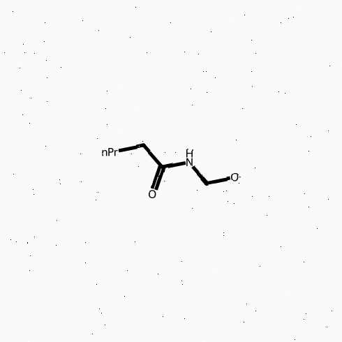 CCCCC(=O)NC[O]